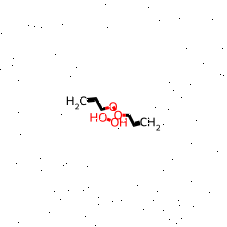 C=CCOOCC=C.OO